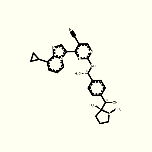 C[C@H](Nc1ncc(C#N)c(-c2cnc3c(C4CC4)cccn23)n1)c1ccc([C@@H](O)[C@@]2(C)CCCN2C)cc1